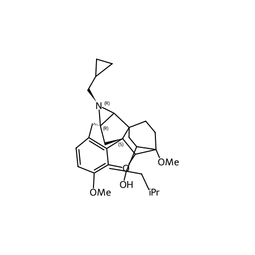 COc1ccc2c3c1OC1C4(OC)CCC5(CC4C(C)(O)CC(C)C)C4[N@](CC6CC6)[C@]4(C2)C[C@]315